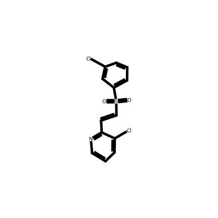 O=S(=O)(C=Cc1ncccc1Cl)c1cccc(Cl)c1